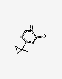 CC1(c2cc(=O)[nH]cn2)CC1